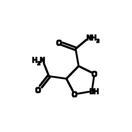 NC(=O)C1OBOC1C(N)=O